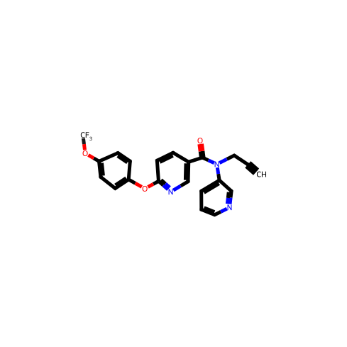 C#CCN(C(=O)c1ccc(Oc2ccc(OC(F)(F)F)cc2)nc1)c1cccnc1